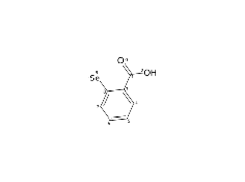 O=C(O)c1ccccc1[Se]